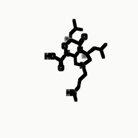 CNCCCN1CC2N(C(=O)O)O[C@H](CC(C)C)C(=O)N2[C@@H](CC(C)C)C1